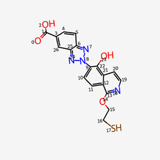 O=C(O)c1ccc2nn(-c3ccc4c(OCCS)nccc4c3O)nc2c1